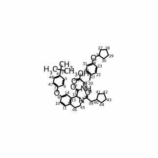 CC(C)(C)c1ccc(Oc2ccc3c(c2)C(C(=O)N[C@@H](Cc2ccc(OC4CCCC4)cc2)C(=O)O)N(C(=O)CC2CCCC2)CC3)cc1